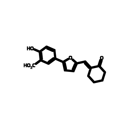 O=C1CCCC/C1=C\c1ccc(-c2ccc(O)c(C(=O)O)c2)o1